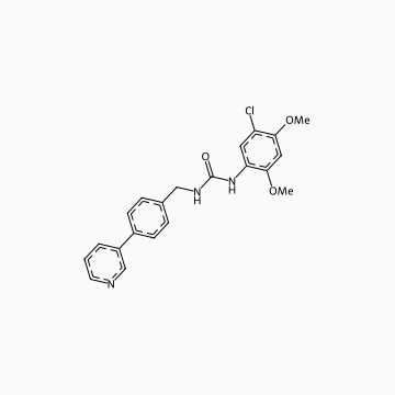 COc1cc(OC)c(NC(=O)NCc2ccc(-c3cccnc3)cc2)cc1Cl